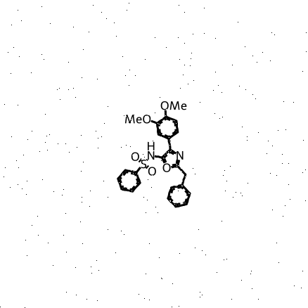 COc1ccc(-c2nc(Cc3ccccc3)oc2NS(=O)(=O)c2ccccc2)cc1OC